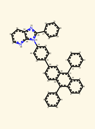 c1ccc(-c2c3ccccc3c(-c3ccccc3)c3cc(-c4ccc(-n5c(-c6ccccc6)nc6cccnc65)cc4)ccc23)cc1